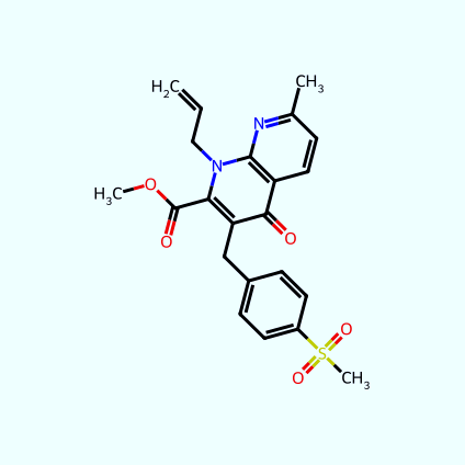 C=CCn1c(C(=O)OC)c(Cc2ccc(S(C)(=O)=O)cc2)c(=O)c2ccc(C)nc21